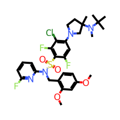 COc1ccc(CN(c2cccc(F)n2)S(=O)(=O)c2c(F)cc(N3CCC(C)(N(C)C(C)(C)C)C3)c(Cl)c2F)c(OC)c1